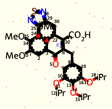 COc1cc(C(=O)/C(Cc2cc(OC(C)C)c(OC(C)C)c(OC(C)C)c2)=C(/C(=O)O)c2ccc3nsnc3c2)cc(OC)c1OC